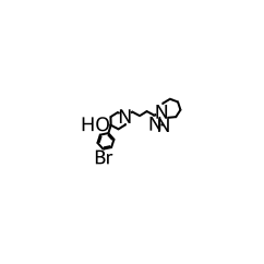 OC1(c2ccc(Br)cc2)CCN(CCCc2nnc3n2CCCCC3)CC1